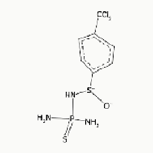 NP(N)(=S)N[S+]([O-])c1ccc(C(Cl)(Cl)Cl)cc1